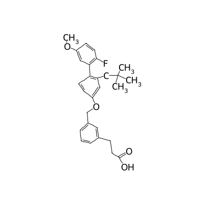 COc1ccc(F)c(-c2ccc(OCc3cccc(CCC(=O)O)c3)cc2CC(C)(C)C)c1